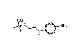 Bc1ccc(NCCO[Si](C)(C)C(C)(C)C)cc1